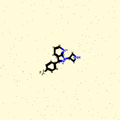 FC(F)(F)c1ccc(-c2nn(C3CNC3)c3ncccc23)cc1